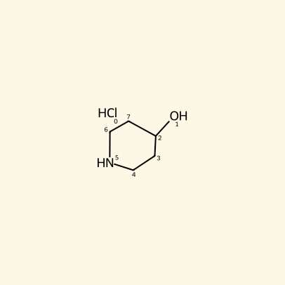 Cl.OC1CCNCC1